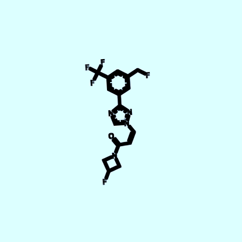 O=C(/C=C\n1cnc(-c2cc(CF)cc(C(F)(F)F)c2)n1)N1CC(F)C1